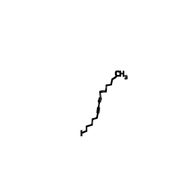 CCCCCC=CC#CC#CCCCCCI